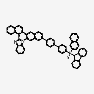 S=P(c1ccc(-c2ccc(-c3ccc4cc5c6ccc7ccccc7c6c6nc7ccccc7n6c5cc4c3)cc2)cc1)(c1ccc2ccccc2c1)C1c2ccccc2-c2ccccc21